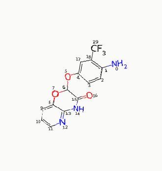 Nc1ccc(OC2Oc3cccnc3NC2=O)cc1C(F)(F)F